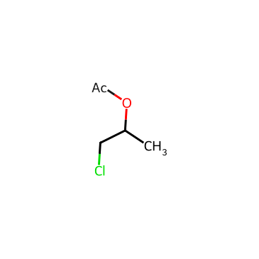 CC(=O)OC(C)CCl